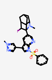 CN1C2CC3CC(C2)C(I)C1(c1cnc2c(c1)c(-c1cnn(C)c1)cn2S(=O)(=O)c1ccccc1)C3